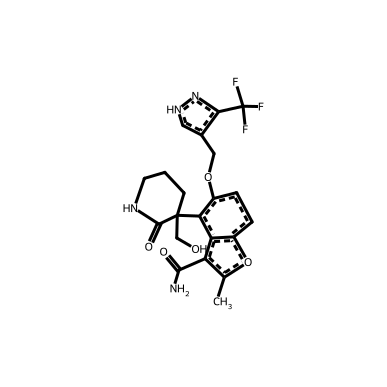 Cc1oc2ccc(OCc3c[nH]nc3C(F)(F)F)c(C3(CO)CCCNC3=O)c2c1C(N)=O